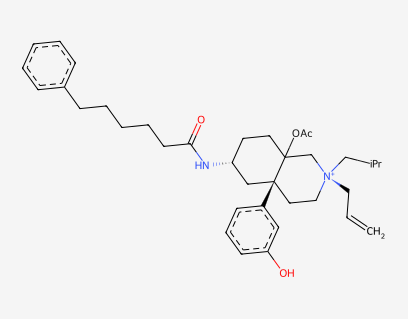 C=CC[N@@+]1(CC(C)C)CC[C@]2(c3cccc(O)c3)C[C@H](NC(=O)CCCCCc3ccccc3)CCC2(OC(C)=O)C1